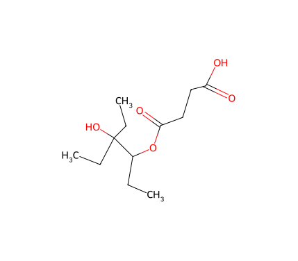 CCC(OC(=O)CCC(=O)O)C(O)(CC)CC